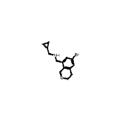 Brc1cc2c(c(CNCC3CC3)c1)COCC2